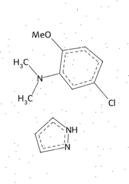 COc1ccc(Cl)cc1N(C)C.c1cn[nH]c1